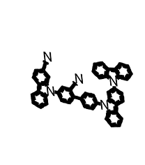 N#Cc1ccc2c3ccccc3n(-c3ccc(-c4ccc(-n5c6ccccc6c6ccc(-n7c8ccccc8c8ccccc87)cc65)cc4)c(C#N)c3)c2c1